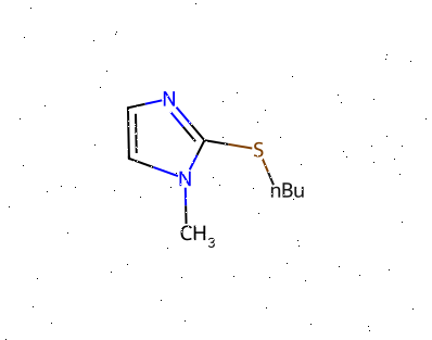 [CH2]CCCSc1nccn1C